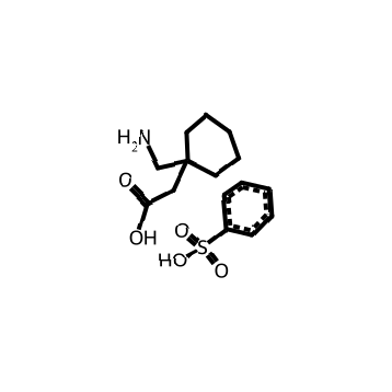 NCC1(CC(=O)O)CCCCC1.O=S(=O)(O)c1ccccc1